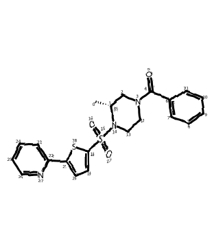 C[C@@H]1CN(C(=O)c2ccccc2)CCN1S(=O)(=O)c1ccc(-c2ccccn2)s1